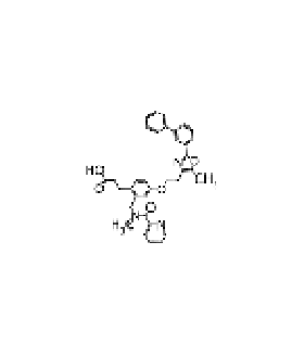 Cc1oc(-c2cccc(-c3ccccc3)c2)nc1CCOc1ccc(CCC(=O)O)c(CN(C)C(=O)c2ccccn2)c1